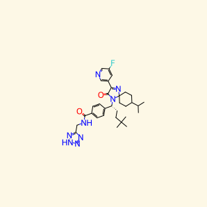 CC(C)C1CCC2(CC1)N=C(c1cncc(F)c1)C(=O)N2[C@H](CCC(C)(C)C)c1ccc(C(=O)NCc2nn[nH]n2)cc1